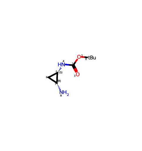 CC(C)(C)OC(=O)N[C@H]1C[C@H]1N